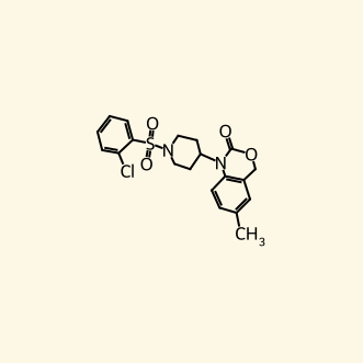 Cc1ccc2c(c1)COC(=O)N2C1CCN(S(=O)(=O)c2ccccc2Cl)CC1